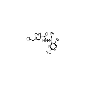 CC(C)CN(NC(=O)c1cc(CCl)on1)c1nc(C#N)ncc1Br